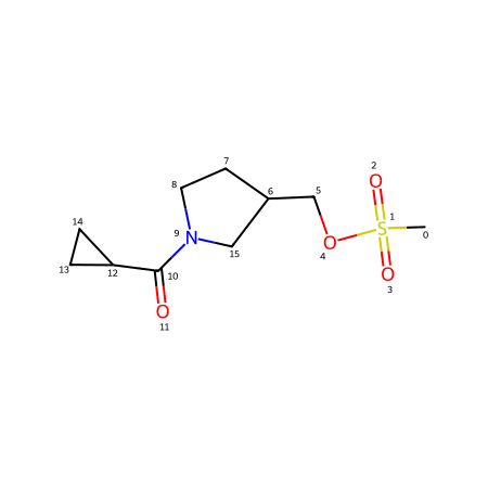 CS(=O)(=O)OCC1CCN(C(=O)C2CC2)C1